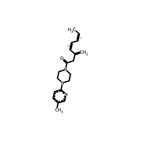 C=C(/C=C\C=C/C)CC(=O)N1CCN(c2ccc(C)cn2)CC1